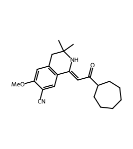 COc1cc2c(cc1C#N)C(=CC(=O)C1CCCCCC1)NC(C)(C)C2